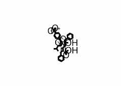 CC(C)CCN(C(O)(CCN(Cc1ccccc1)C(=O)O)Cc1ccccc1)S(=O)(=O)c1ccc([N+](=O)[O-])cc1